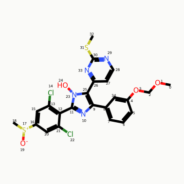 COCOc1cccc(-c2nc(-c3c(Cl)cc([S+](C)[O-])cc3Cl)n(O)c2-c2ccnc(SC)n2)c1